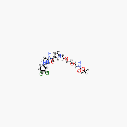 CC(C)(C)OC(=O)NCCOCCOCCN1CC[C@@H](C(=O)NC2=NN(c3ccc(Cl)c(Cl)c3)CC2)C1